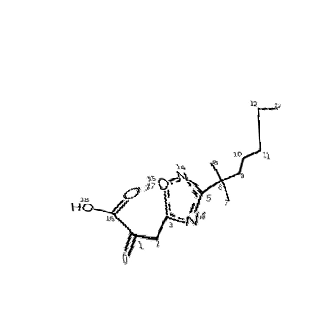 C=C(Cc1nc(C(C)(C)CCCCC)no1)C(=O)O